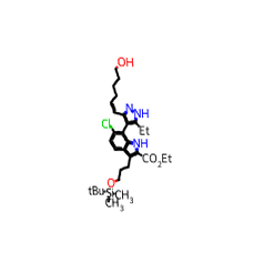 CCOC(=O)c1[nH]c2c(-c3c(/C=C\CCCCO)n[nH]c3CC)c(Cl)ccc2c1CCCO[Si](C)(C)C(C)(C)C